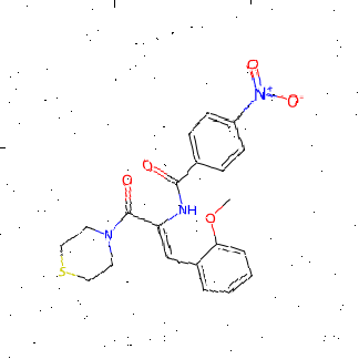 COc1ccccc1C=C(NC(=O)c1ccc([N+](=O)[O-])cc1)C(=O)N1CCSCC1